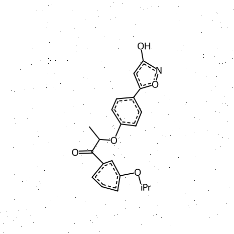 CC(C)Oc1cccc(C(=O)C(C)Oc2ccc(-c3cc(O)no3)cc2)c1